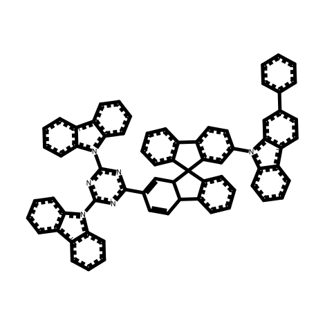 C1=CC2c3ccccc3C3(c4ccccc4-c4ccc(-n5c6ccccc6c6ccc(-c7ccccc7)cc65)cc43)C2C=C1c1nc(-n2c3ccccc3c3ccccc32)nc(-n2c3ccccc3c3ccccc32)n1